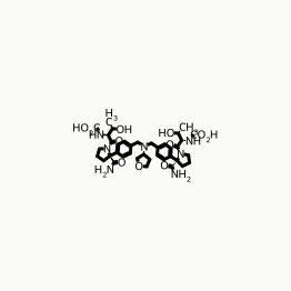 C[C@@H](O)[C@H](NC(=O)O)C(=O)N1CCC[C@@]1(C(N)=O)c1ccc(CN(Cc2ccc([C@]3(C(N)=O)CCCN3C(=O)[C@@H](NC(=O)O)[C@@H](C)O)cc2)[C@@H]2CCOC2)cc1